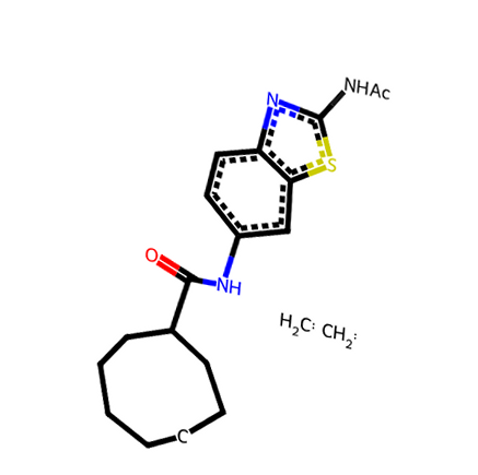 CC(=O)Nc1nc2ccc(NC(=O)[C]3CCCCCCC3)cc2s1.[CH2].[CH2]